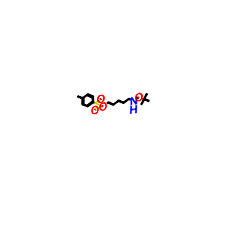 Cc1ccc(S(=O)(=O)OCCCCCNOC(C)(C)C)cc1